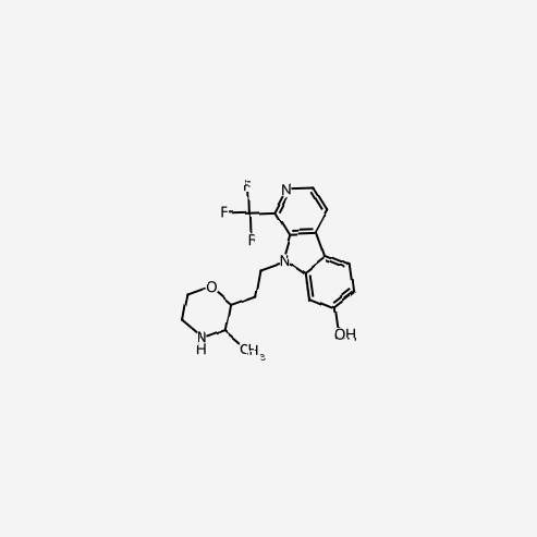 CC1NCCOC1CCn1c2cc(O)ccc2c2ccnc(C(F)(F)F)c21